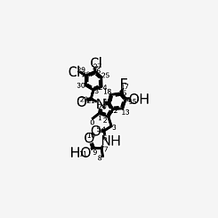 Cc1c(CC(=O)NC(C)C(=O)O)c2cc(O)c(F)cc2n1C(=O)c1ccc(Cl)c(Cl)c1